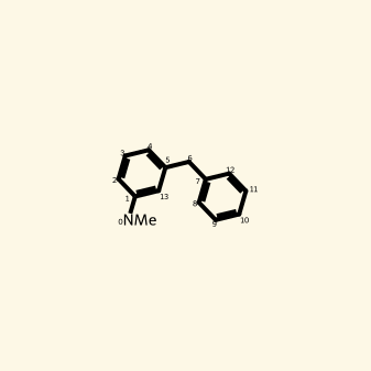 CNc1cccc(Cc2ccccc2)c1